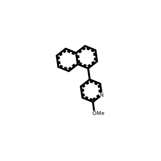 COc1ccc(-c2cccc3ccccc23)cn1